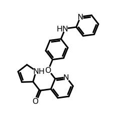 O=C(c1cccnc1Oc1ccc(Nc2ccccn2)cc1)C1C=CCN1